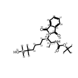 C[C@H](NC(=O)OC(C)(C)C)[C@@H](CCCCC(C)(C)[Si](C)(C)O)N1C(=O)c2ccccc2C1=O